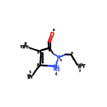 CCCc1c(C(C)C)[nH]n(CC(C)C)c1=O